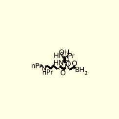 BC(=O)CNC(=O)[C@H](CCCCN(CCC)CCC)NC(=O)[C@@H](NO)C(C)C